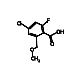 COCc1cc(Cl)cc(F)c1C(=O)O